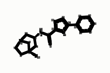 O=C(N[C@@H]1C[C@@H]2CCN(C2)C1)c1ncc(-c2ccccc2)o1